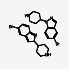 Brc1ccc2c(c1)=CC(C1CCNCC1)N=2.Brc1ccc2c(cnn2C2CCNCC2)c1